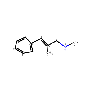 CCCNC/C(C)=C/c1ccccc1